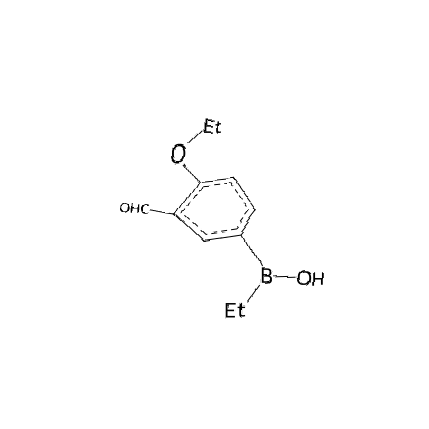 CCOc1ccc(B(O)CC)cc1C=O